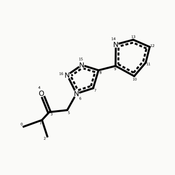 CC(C)C(=O)Cn1cc(-c2ccccn2)nn1